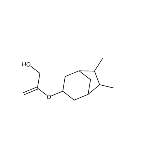 C=C(CO)OC1CC2CC(C1)C(C)C2C